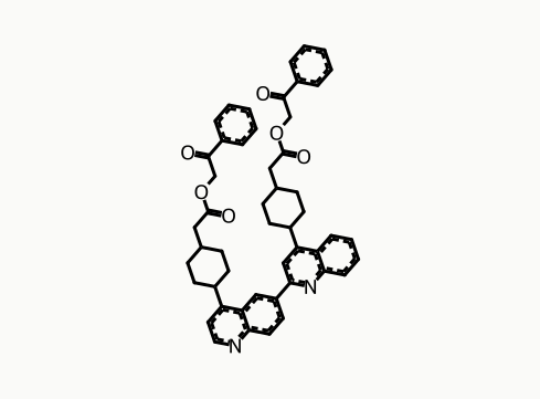 O=C(CC1CCC(c2ccnc3ccc(-c4cc(C5CCC(CC(=O)OCC(=O)c6ccccc6)CC5)c5ccccc5n4)cc23)CC1)OCC(=O)c1ccccc1